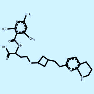 Cc1cc(C)c(C(=O)NC(CCOC2CC(CCc3ccc4c(n3)NCCC4)C2)C(=O)O)c(C)n1